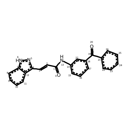 O=C(C=Cc1n[nH]c2ccccc12)Nc1cccc(C(=O)c2ccccc2)c1